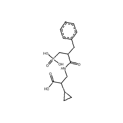 O=C(NCC(C(=O)O)C1CC1)C(Cc1ccccc1)CP(=O)(O)O